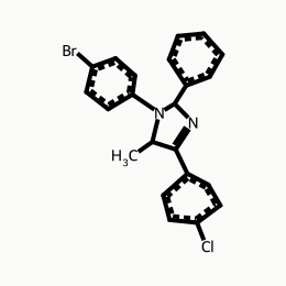 CC1C(c2ccc(Cl)cc2)=NC(c2ccccc2)N1c1ccc(Br)cc1